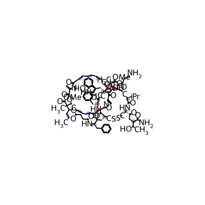 C/C=C/C(O)C(C)(C(=O)OC)C1C\C=C/C=C/C=C/c2nc(co2)C(=O)OC(C(C)(C(=O)OC)C(/C=C/C)OC(=O)CCC(=O)N[C@H](Cc2ccccc2)C(=O)C[C@H]2CSSC[C@@H](C(=O)C[C@@H](C(N)=O)C(C)O)NC(=O)[C@H](C(C)C)CC(=O)[C@H](CCCCN)NC(=O)[C@@H](Cc3c[nH]c4ccccc34)CC(=O)[C@@H](Cc3ccc(O)cc3)NC2=O)C\C=C/C=C/C=C/c2nc(co2)C(=O)O1